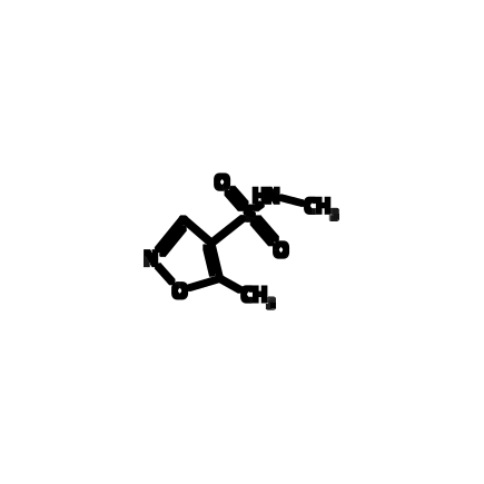 CNS(=O)(=O)c1cnoc1C